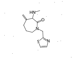 C=C1CCCN(Cc2nccs2)C(=O)C1NC